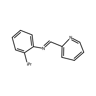 CC(C)c1ccccc1N=Cc1ccccn1